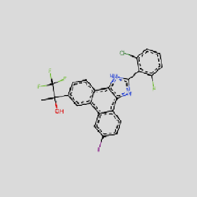 CC(O)(c1ccc2c(c1)c1cc(I)ccc1c1nc(-c3c(F)cccc3Cl)[nH]c21)C(F)(F)F